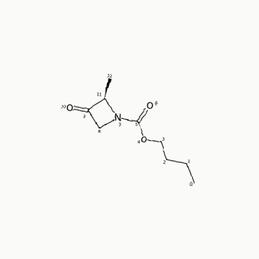 CCCCOC(=O)N1CC(=O)[C@H]1C